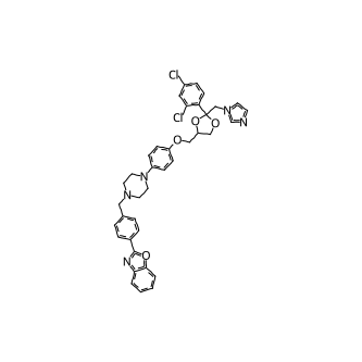 Clc1ccc(C2(Cn3ccnc3)OCC(COc3ccc(N4CCN(Cc5ccc(-c6nc7ccccc7o6)cc5)CC4)cc3)O2)c(Cl)c1